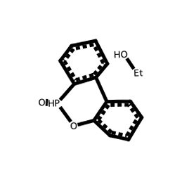 CCO.O=[PH]1Oc2ccccc2-c2ccccc21